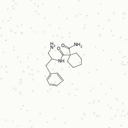 NCC(Cc1ccccc1)NC(=O)C1(C(N)=O)CCCCC1